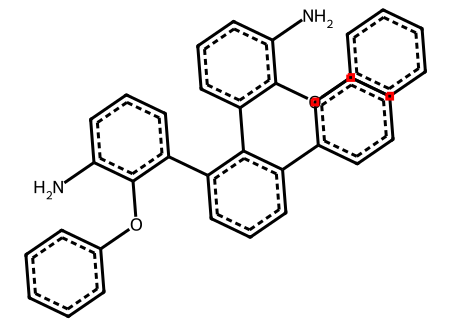 Nc1cccc(-c2cccc(-c3ccccc3)c2-c2cccc(N)c2Oc2ccccc2)c1Oc1ccccc1